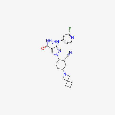 N#CC1CC(N2CC3(CCC3)C2)CCC1n1cc(C(N)=O)c(Nc2ccnc(F)c2)n1